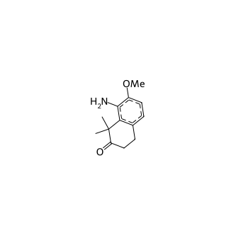 COc1ccc2c(c1N)C(C)(C)C(=O)CC2